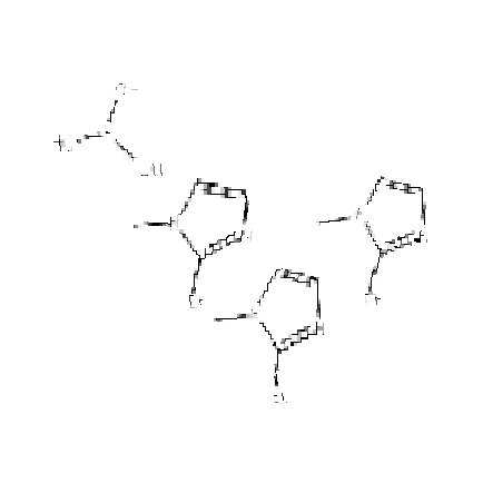 CCc1nccn1C.CCc1nccn1C.CCc1nccn1C.OB(O)O